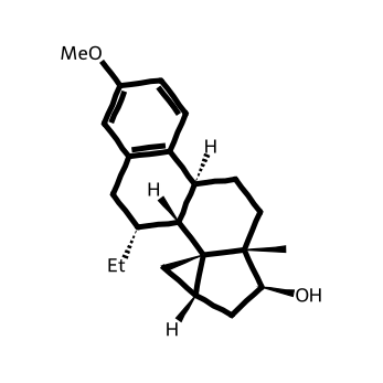 CC[C@@H]1Cc2cc(OC)ccc2[C@H]2CC[C@]3(C)[C@@H](O)C[C@@H]4C[C@]43[C@H]12